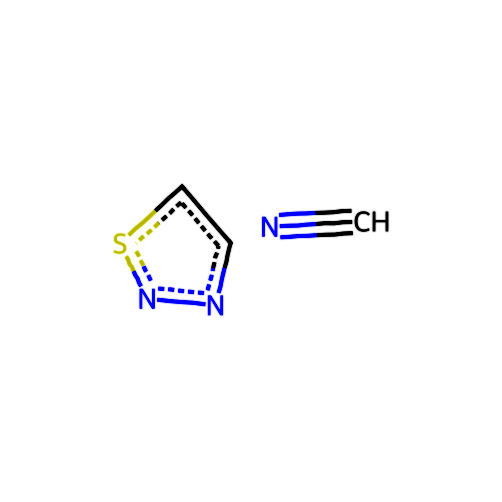 C#N.c1csnn1